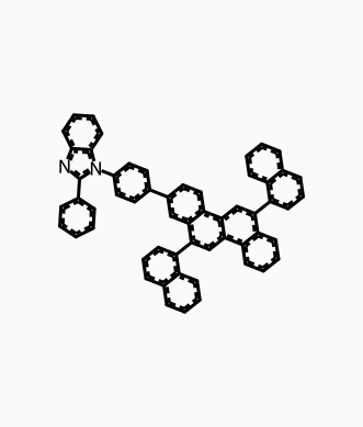 c1ccc(-c2nc3ccccc3n2-c2ccc(-c3ccc4c(c3)c(-c3cccc5ccccc35)cc3c5ccccc5c(-c5cccc6ccccc56)cc43)cc2)cc1